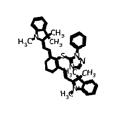 CN1/C(=C/C=C2\CCCC(/C=C/C3=[N+](C)c4ccccc4C3(C)C)=C2Sc2ncnn2-c2ccccc2)C(C)(C)c2ccccc21